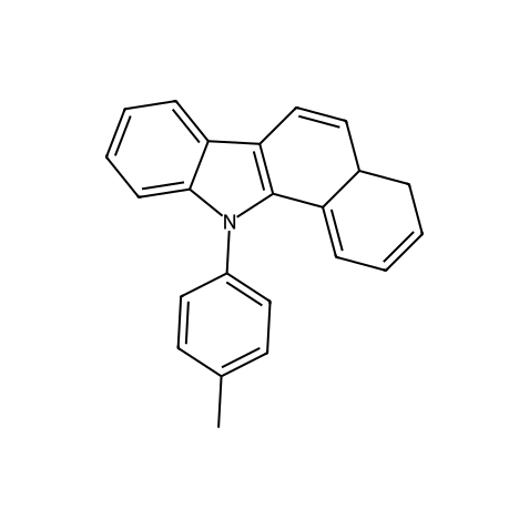 Cc1ccc(-n2c3c(c4ccccc42)C=CC2CC=CC=C32)cc1